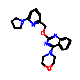 c1cc(COc2nc(N3CCOCC3)c3ccccc3n2)nc(N2CCCC2)c1